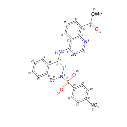 CCN(C[C@@H](Nc1ncnc2c(C(=O)OC)cccc12)c1ccccc1)S(=O)(=O)c1ccc([N+](=O)[O-])cc1